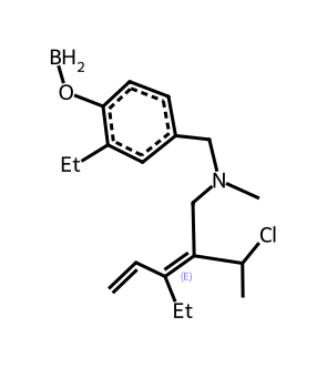 BOc1ccc(CN(C)C/C(=C(\C=C)CC)C(C)Cl)cc1CC